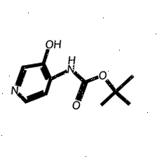 CC(C)(C)OC(=O)Nc1ccncc1O